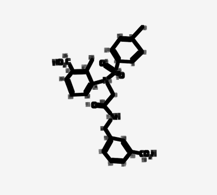 Cc1ccc(S(=O)(=O)N(CC(=O)NCc2cccc(C(=O)O)c2)c2cccc(C(=O)O)c2C)cc1